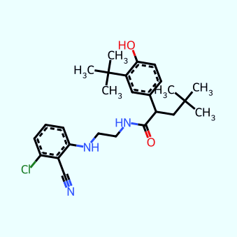 CC(C)(C)CC(C(=O)NCCNc1cccc(Cl)c1C#N)c1ccc(O)c(C(C)(C)C)c1